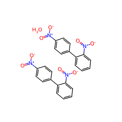 O.O=[N+]([O-])c1ccc(-c2ccccc2[N+](=O)[O-])cc1.O=[N+]([O-])c1ccc(-c2ccccc2[N+](=O)[O-])cc1